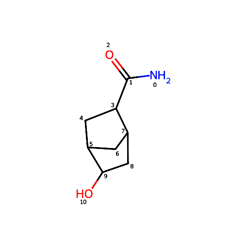 NC(=O)C1CC2CC1CC2O